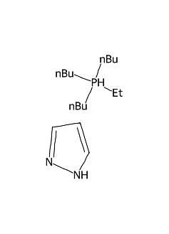 CCCC[PH](CC)(CCCC)CCCC.c1cn[nH]c1